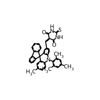 Cc1cc(C)c(N2c3ccc(C)cc3C3(c4ccccc4-c4ccccc43)c3cc(C=C4C(=O)NC(=S)NC4=O)ccc32)c(C)c1